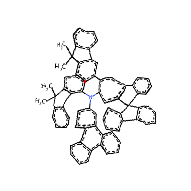 CC1(C)c2ccccc2-c2cc(-c3cc4c(cc3N(c3ccc5c6ccccc6c6ccccc6c5c3)c3cccc5c3-c3ccccc3C5(C)C)C3(c5ccccc5-c5ccccc53)c3ccccc3-4)ccc21